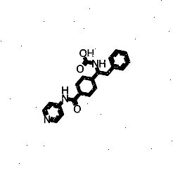 O=C(O)NC(Cc1ccccc1)C1CCC(C(=O)Nc2ccncc2)CC1